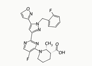 C[C@@H]1[C@H](C(=O)O)CCCN1c1nc(-c2cc(-c3ccon3)n(Cc3ccccc3F)n2)ncc1F